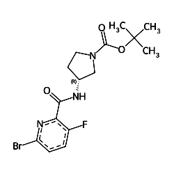 CC(C)(C)OC(=O)N1CC[C@@H](NC(=O)c2nc(Br)ccc2F)C1